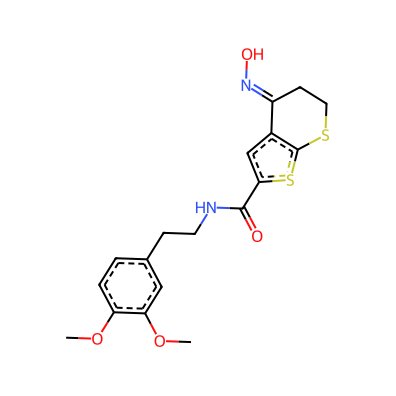 COc1ccc(CCNC(=O)c2cc3c(s2)SCCC3=NO)cc1OC